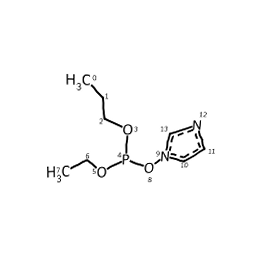 CCCOP(OCC)On1ccnc1